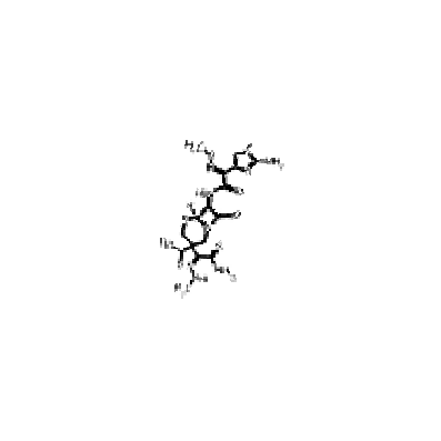 CNN=C(C(N)=S)C1(C(=O)O)CS[C@@H]2C(NC(=O)C(=NOC)c3csc(N)n3)C(=O)N2C1